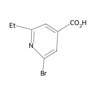 CCc1cc(C(=O)O)cc(Br)n1